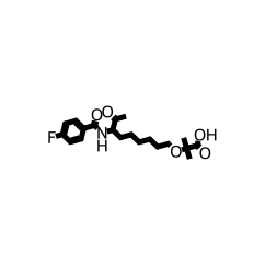 CC(=O)C(CCCCCCOC(C)(C)C(=O)O)NC(=O)c1ccc(F)cc1